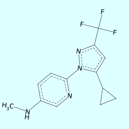 CNc1ccc(-n2nc(C(F)(F)F)cc2C2CC2)nc1